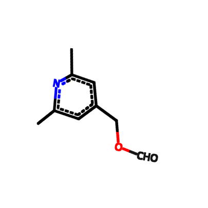 Cc1cc(COC=O)cc(C)n1